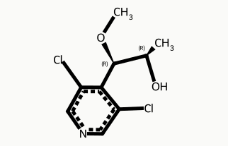 CO[C@H](c1c(Cl)cncc1Cl)[C@@H](C)O